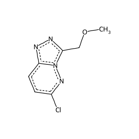 COCc1nnc2ccc(Cl)nn12